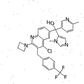 Cc1ccc(C(O)(c2ccc3nc(N4CCC4)c(Cc4ccc(C(F)(F)F)cc4)c(Cl)c3c2)c2cncn2C)cn1